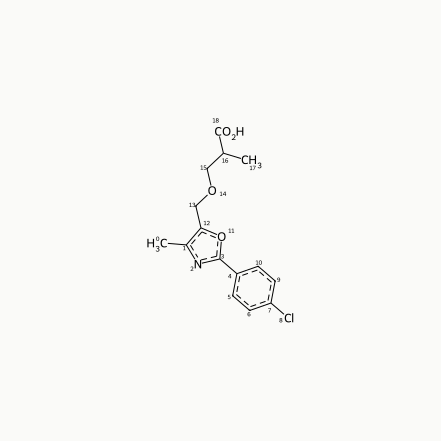 Cc1nc(-c2ccc(Cl)cc2)oc1COCC(C)C(=O)O